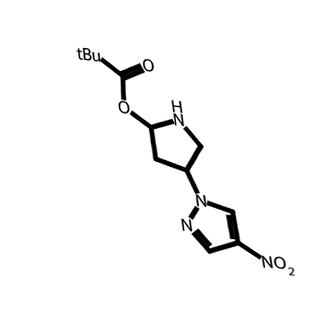 CC(C)(C)C(=O)OC1CC(n2cc([N+](=O)[O-])cn2)CN1